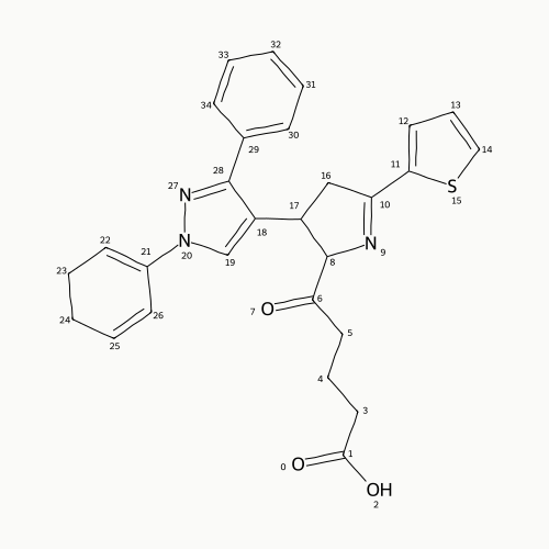 O=C(O)CCCC(=O)C1N=C(c2cccs2)CC1c1cn(C2=CCCC=C2)nc1-c1ccccc1